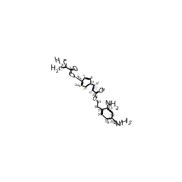 C=C(C)C(=O)Oc1ccc(/C=C/C(=O)OCCC2=CCC(N)C=C2N)cc1